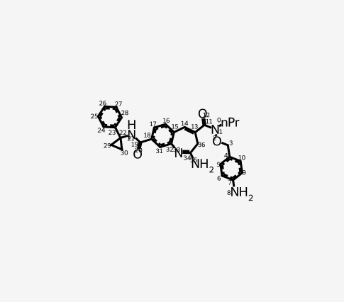 CCCN(OCc1ccc(N)cc1)C(=O)C1=Cc2ccc(C(=O)NC3(c4ccccc4)CC3)cc2N=C(N)C1